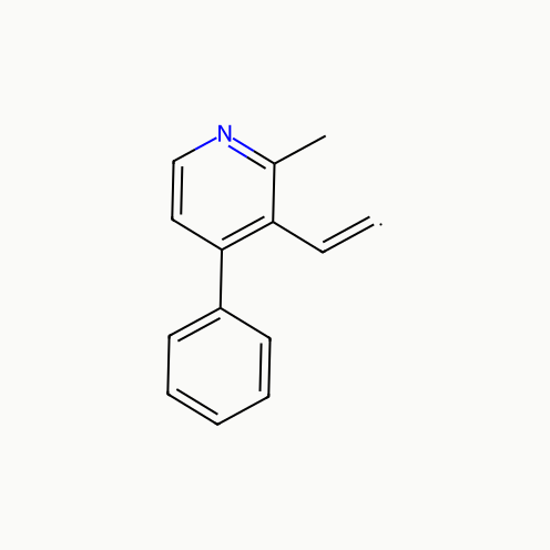 [CH]=Cc1c(-c2ccccc2)ccnc1C